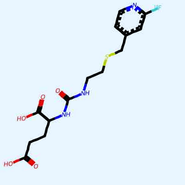 O=C(O)CCC(NC(=O)NCCSCc1ccnc([18F])c1)C(=O)O